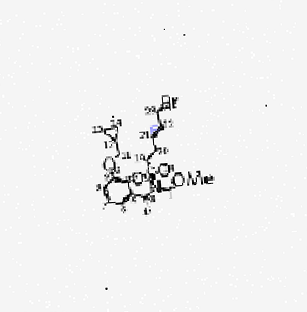 COCN([C@H](C)c1cccc(OCC2CC2)c1)S(=O)(=O)CC/C=C/CBr